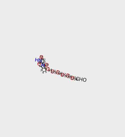 C=C1C2CCCC(OCCOCCOCCOCCOCCOCCC=O)=C2C(=O)N1C1CCC(=O)NC1=O